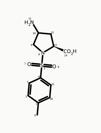 Cc1ccc(S(=O)(=O)N2CC(N)C[C@H]2C(=O)O)cc1